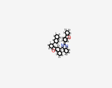 c1ccc2cc(-c3cccc4oc5c6ccccc6c(-c6nc(-c7ccc8c(c7)oc7ccccc78)nc7ccccc67)cc5c34)ccc2c1